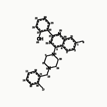 Cc1ccc2c(N3CCN(Cc4ccccc4C)CC3)nc(-c3ccccc3O)nc2c1